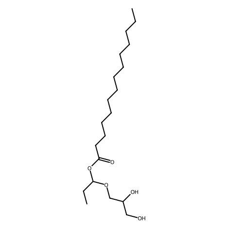 CCCCCCCCCCCCCC(=O)OC(CC)OCC(O)CO